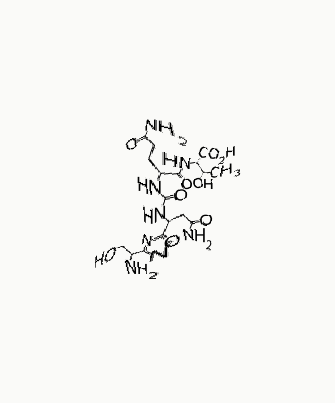 CC(O)[C@H](NC(=O)[C@H](CCC(N)=O)NC(=O)N[C@@H](CC(N)=O)c1nc([C@@H](N)CO)no1)C(=O)O